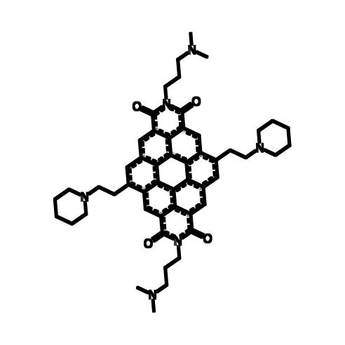 CN(C)CCCn1c(=O)c2cc3cc(CCN4CCCCC4)c4cc5c(=O)n(CCCN(C)C)c(=O)c6cc7cc(CCN8CCCCC8)c8cc(c1=O)c2c1c3c4c(c65)c7c81